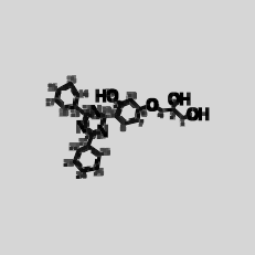 OCC(O)COc1ccc(-c2nc(-c3ccccc3)nc(-c3ccccc3)n2)c(O)c1